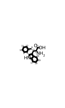 N[C@H](C(=O)O)[C@@H](Cc1ccccc1)c1c[nH]c2ccccc12